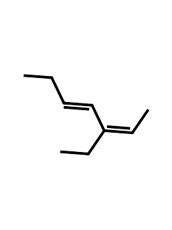 CC=C(C=CCC)CC